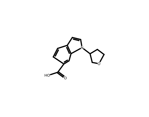 O=C(O)c1ccc2ccn(C3CCOC3)c2c1